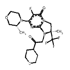 C[C@@H]1COCCN1c1nc2n(c(=O)c1F)C[C@@](C)(C(F)(F)F)N2CC(=O)C1CCOCC1